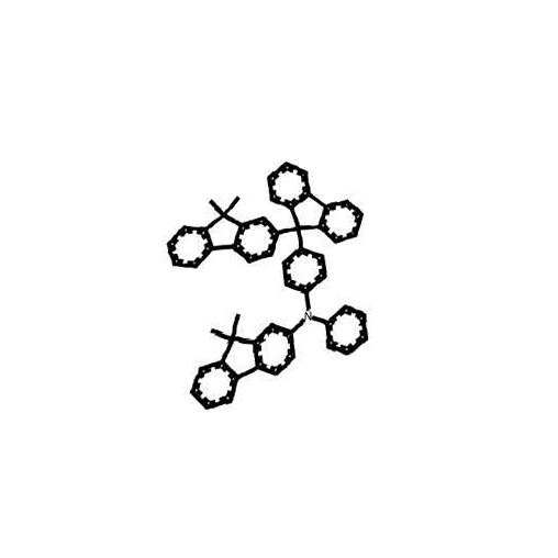 CC1(C)c2ccccc2-c2ccc(N(c3ccccc3)c3ccc(C4(c5ccc6c(c5)C(C)(C)c5ccccc5-6)c5ccccc5-c5ccccc54)cc3)cc21